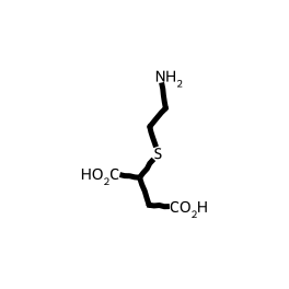 NCCSC(CC(=O)O)C(=O)O